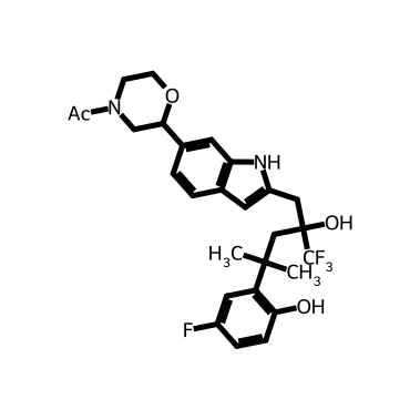 CC(=O)N1CCOC(c2ccc3cc(CC(O)(CC(C)(C)c4cc(F)ccc4O)C(F)(F)F)[nH]c3c2)C1